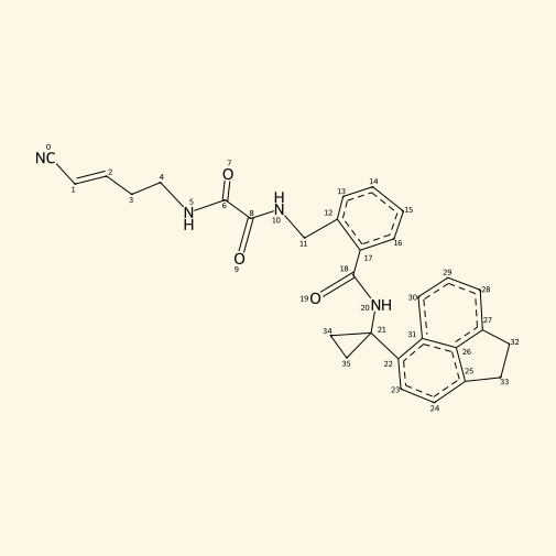 N#C/C=C/CCNC(=O)C(=O)NCc1ccccc1C(=O)NC1(c2ccc3c4c(cccc24)CC3)CC1